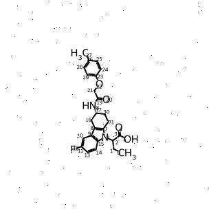 CCC(C(=O)O)n1c2c(c3cc(F)ccc31)C[C@H](NC(=O)COc1ccc(C)cc1)CC2